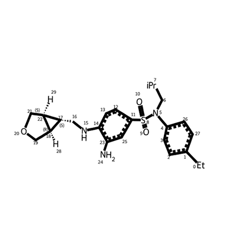 CCc1ccc(N(CC(C)C)S(=O)(=O)c2ccc(NC[C@@H]3[C@H]4COC[C@@H]34)c(N)c2)cc1